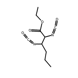 CCCC(N=C=O)C(N=C=O)C(=O)OCC